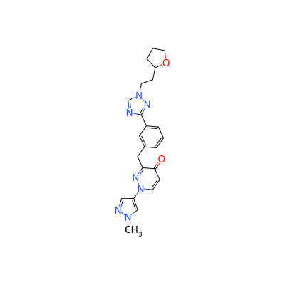 Cn1cc(-n2ccc(=O)c(Cc3cccc(-c4ncn(CCC5CCCO5)n4)c3)n2)cn1